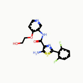 Nc1sc(-c2c(F)cccc2F)nc1C(=O)Nc1cnccc1OCCO